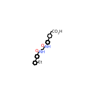 CCc1ccccc1-c1ccc(C(=O)NCCC(=O)Nc2ccc(C3CCC(CC(=O)O)CC3)cc2)cc1